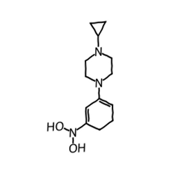 ON(O)C1=CC(N2CCN(C3CC3)CC2)=CCC1